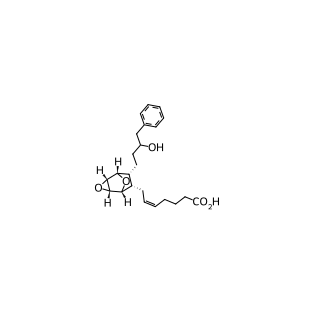 O=C(O)CCC/C=C\C[C@H]1[C@@H](CCC(O)Cc2ccccc2)[C@@H]2O[C@H]1[C@@H]1O[C@@H]12